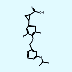 CC(C)Sc1cccc(COc2c(F)cc(C3CC3C(=O)O)cc2F)n1